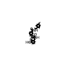 Cc1ccc(CCNC(=O)c2cccc(N3C(=O)NC4CC3(C)Oc3c(O)cccc34)c2)cc1